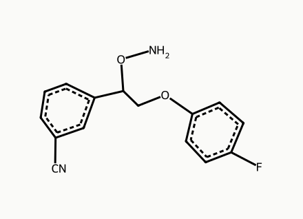 N#Cc1cccc(C(COc2ccc(F)cc2)ON)c1